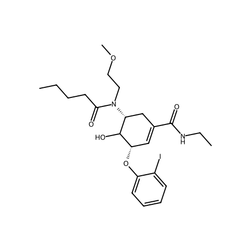 CCCCC(=O)N(CCOC)[C@@H]1CC(C(=O)NCC)=C[C@H](Oc2ccccc2I)C1O